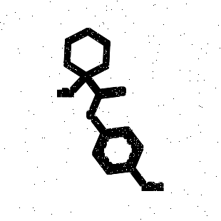 CCCCCCCCc1ccc(OC(=O)C2(CCCC)CCCCC2)cc1